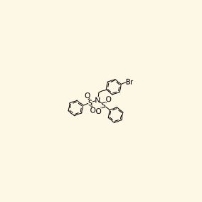 O=S(=O)(c1ccccc1)N(Cc1ccc(Br)cc1)S(=O)(=O)c1ccccc1